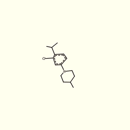 CC1CCN(c2ccc(C(C)C)c(Cl)c2)CC1